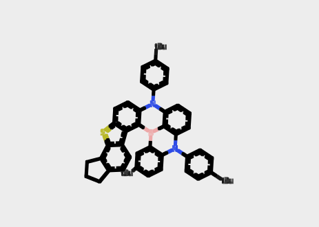 CC(C)(C)c1ccc(N2c3ccc(C(C)(C)C)cc3B3c4c2cccc4N(c2ccc(C(C)(C)C)cc2)c2ccc4sc5c6c(ccc5c4c23)CCC6)cc1